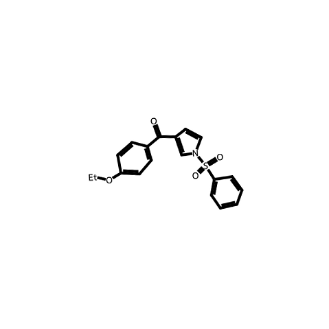 CCOc1ccc(C(=O)c2ccn(S(=O)(=O)c3ccccc3)c2)cc1